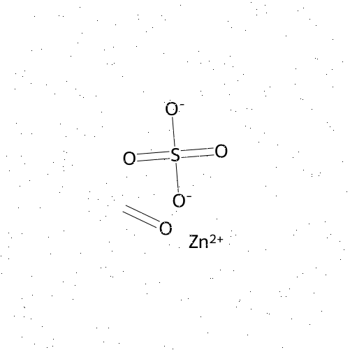 C=O.O=S(=O)([O-])[O-].[Zn+2]